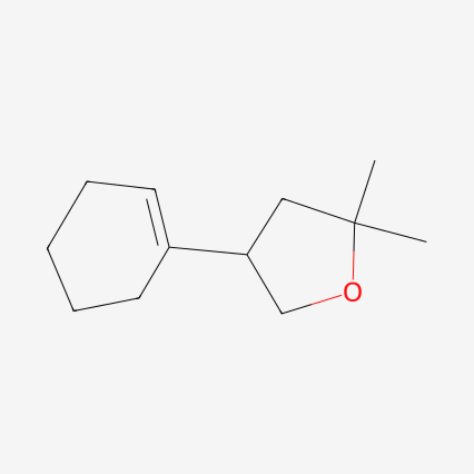 CC1(C)CC(C2=CCCCC2)CO1